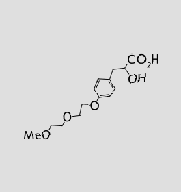 COCCOCCOc1ccc(CC(O)C(=O)O)cc1